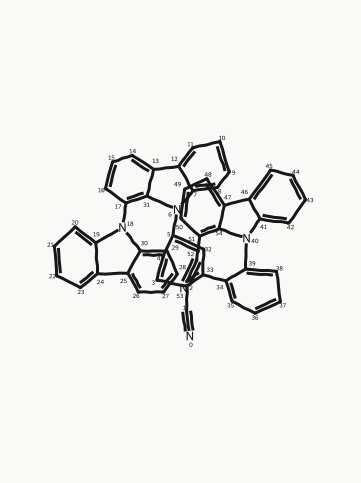 N#Cc1ccc(-n2c3ccccc3c3cccc(-n4c5ccccc5c5ccccc54)c32)cc1-c1ccccc1-n1c2ccccc2c2cccc(C#N)c21